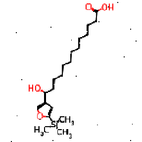 C[Si](C)(C)c1cc(C(O)CCCCCCCCCCCC(=O)O)co1